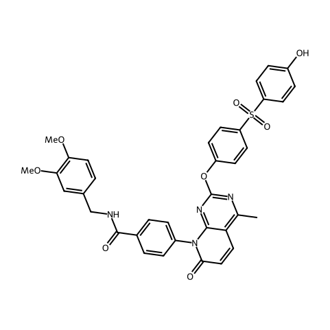 COc1ccc(CNC(=O)c2ccc(-n3c(=O)ccc4c(C)nc(Oc5ccc(S(=O)(=O)c6ccc(O)cc6)cc5)nc43)cc2)cc1OC